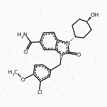 COc1ccc(Cn2c(=O)n([C@H]3CC[C@H](O)CC3)c3ccc(C(N)=O)cc32)cc1Cl